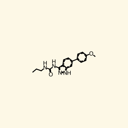 CCCNC(=O)Nc1n[nH]c2cc(-c3ccc(OC)cc3)ccc12